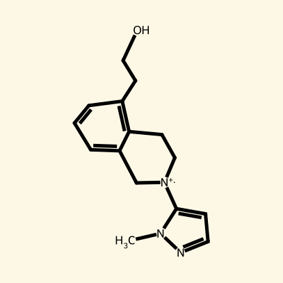 Cn1nccc1[N+]1CCc2c(CCO)cccc2C1